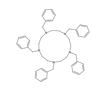 c1ccc(CN2CCN(Cc3ccccc3)CCN(Cc3ccccc3)CCN(Cc3ccccc3)CCN(Cc3ccccc3)CC2)cc1